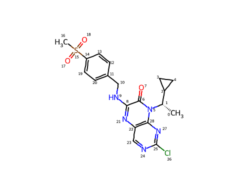 C[C@@H](C1CC1)n1c(=O)c(NCc2ccc(S(C)(=O)=O)cc2)nc2cnc(Cl)nc21